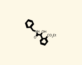 CCOC(=O)c1ccccc1C(O)C(=O)NCc1ccccc1